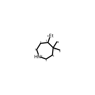 CCC1CCNCCC1(C)C